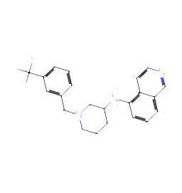 FC(F)(F)c1cccc(CN2CCCC(Nc3cccc4cnccc34)C2)c1